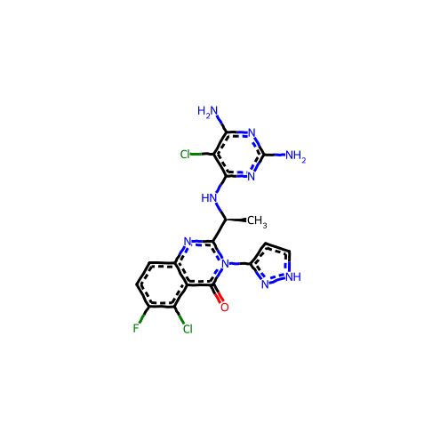 C[C@H](Nc1nc(N)nc(N)c1Cl)c1nc2ccc(F)c(Cl)c2c(=O)n1-c1cc[nH]n1